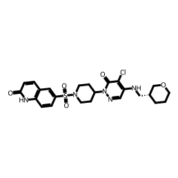 O=c1ccc2cc(S(=O)(=O)N3CCC(n4ncc(NC[C@H]5CCCOC5)c(Cl)c4=O)CC3)ccc2[nH]1